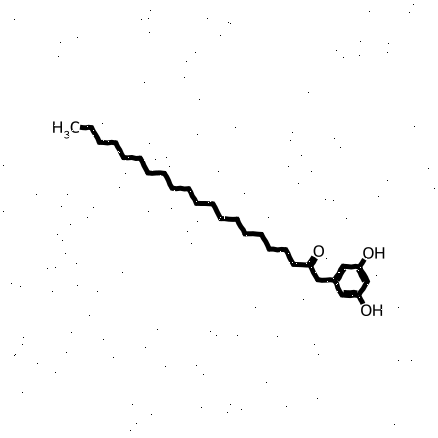 CCCCCCCCCCCCCCCCCCCC(=O)Cc1cc(O)cc(O)c1